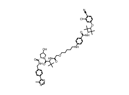 Cc1ncsc1-c1ccc(CNC(=O)[C@@H]2C[C@@H](O)CN2C(=O)C(NC(=O)COCCCCCNc2ccc(C(=O)N[C@H]3C(C)(C)[C@H](Oc4ccc(C#N)c(Cl)c4)C3(C)C)cc2)C(C)(C)C)cc1